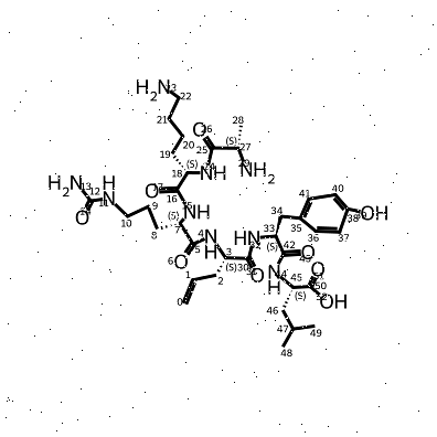 C=CC[C@H](NC(=O)[C@H](CCCNC(N)=O)NC(=O)[C@H](CCCCN)NC(=O)[C@H](C)N)C(=O)N[C@@H](Cc1ccc(O)cc1)C(=O)N[C@@H](CC(C)C)C(=O)O